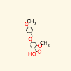 COc1ccc(COc2ccc(C(=O)O)c(OC)c2)cc1